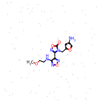 COCCNc1nonc1-c1noc(=O)n1Cc1cc(N)co1